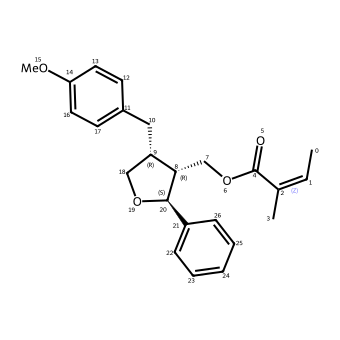 C/C=C(/C)C(=O)OC[C@H]1[C@@H](Cc2ccc(OC)cc2)CO[C@@H]1c1ccccc1